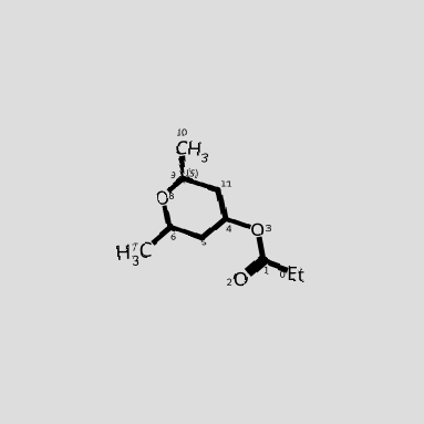 CCC(=O)OC1CC(C)O[C@@H](C)C1